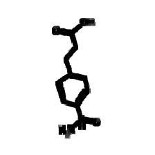 N[PH](=O)c1ccc(CCC(=O)O)cc1